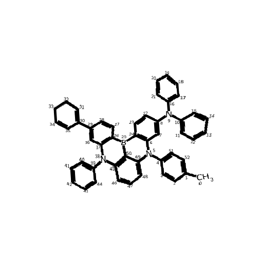 Cc1ccc(N2c3cc(N(c4ccccc4)c4ccccc4)ccc3B3c4ccc(C5=CCCC=C5)cc4N(c4ccccc4)c4cccc2c43)cc1